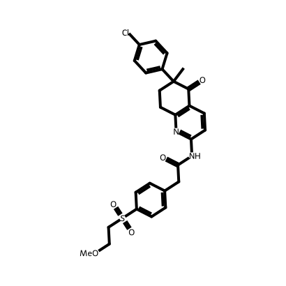 COCCS(=O)(=O)c1ccc(CC(=O)Nc2ccc3c(n2)CCC(C)(c2ccc(Cl)cc2)C3=O)cc1